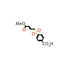 COC(=O)C=CCS(=O)(=O)c1ccc(C(=O)O)cc1